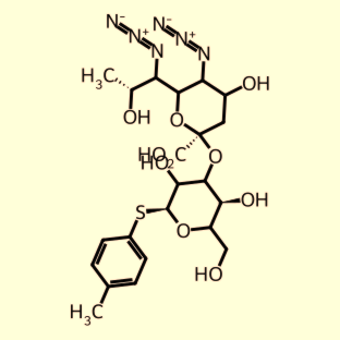 Cc1ccc(S[C@@H]2OC(CO)[C@H](O)C(O[C@]3(C(=O)O)CC(O)C(N=[N+]=[N-])C(C(N=[N+]=[N-])[C@@H](C)O)O3)C2O)cc1